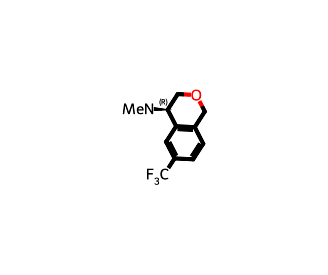 CN[C@H]1COCc2ccc(C(F)(F)F)cc21